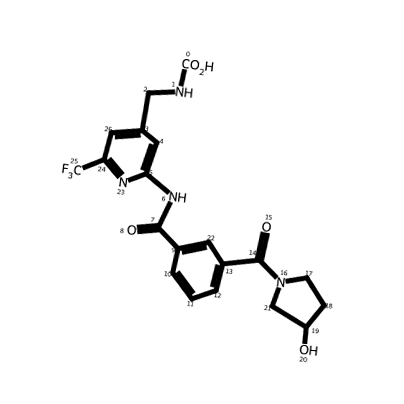 O=C(O)NCc1cc(NC(=O)c2cccc(C(=O)N3CCC(O)C3)c2)nc(C(F)(F)F)c1